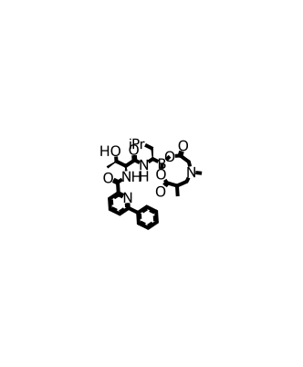 CC(C)C[C@H](NC(=O)[C@@H](NC(=O)c1cccc(-c2ccccc2)n1)[C@@H](C)O)B1OC(=O)CN(C)CC(C)C(=O)O1